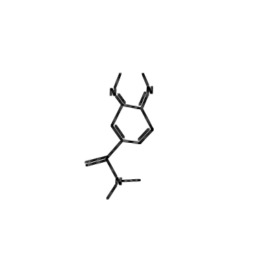 C=C(C1=CC(=N/C)/C(=N\C)C=C1)N(C)C